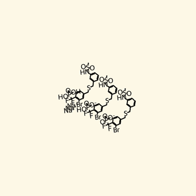 CS(=O)(=O)Nc1cccc(CSCc2ccc(C(F)(F)P(=O)(O)O)c(Br)c2)c1.CS(=O)(=O)Nc1cccc(CSCc2ccc(C(F)(F)P(=O)([O-])O)c(Br)c2)c1.CS(=O)(=O)Nc1cccc(CSCc2ccc(C(F)(F)P(=O)([O-])[O-])c(Br)c2)c1.[Na+].[Na+].[Na+]